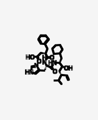 C=C[C@@H](C[C@H](O)[C@H](CC1CCCCC1)NC(=O)[C@H](Cc1c[nH]cn1)NC(=O)[C@@H](CC(=O)O)Cc1ccccc1)C(C)C